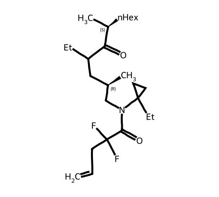 C=CCC(F)(F)C(=O)N(C[C@H](C)CC(CC)C(=O)[C@@H](C)CCCCCC)C1(CC)CC1